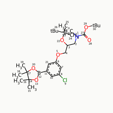 CN(CC(COc1cc(Cl)cc(B2OC(C)(C)C(C)(C)O2)c1)O[Si](C)(C)C(C)(C)C)C(=O)OC(C)(C)C